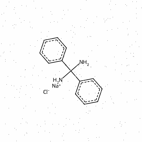 NC(N)(c1ccccc1)c1ccccc1.[Cl-].[Na+]